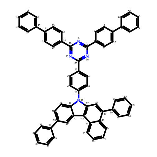 c1ccc(-c2ccc(-c3nc(-c4ccc(-c5ccccc5)cc4)nc(-c4ccc(-n5c6ccc(-c7ccccc7)cc6c6c7ccccc7c(-c7ccccc7)cc65)cc4)n3)cc2)cc1